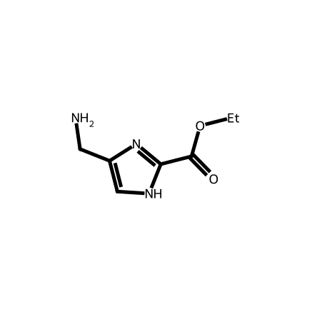 CCOC(=O)c1nc(CN)c[nH]1